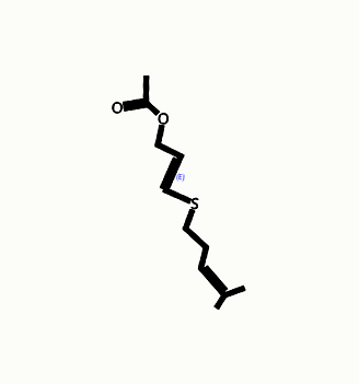 CC(=O)OC/C=C/SCCC=C(C)C